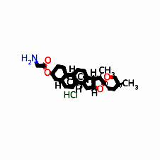 C[C@H]1CC[C@@]2(OC1)O[C@H]1C[C@H]3[C@@H]4CC[C@@H]5C[C@@H](OC(=O)CN)CC[C@]5(C)[C@H]4CC[C@]3(C)[C@H]1[C@@H]2C.Cl